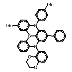 CC(C)(C)c1ccc(N2c3ccc(C(C)(C)C)cc3B3c4ccccc4N(c4cccc5c4OCCO5)c4cc(-c5ccccc5)cc2c43)cc1